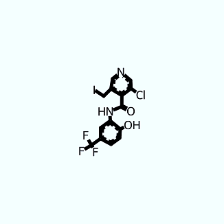 O=C(Nc1cc(C(F)(F)F)ccc1O)c1c(Cl)cncc1CI